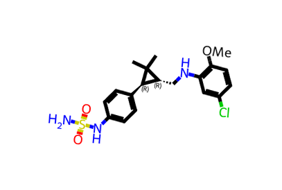 COc1ccc(Cl)cc1NC[C@@H]1[C@@H](c2ccc(NS(N)(=O)=O)cc2)C1(C)C